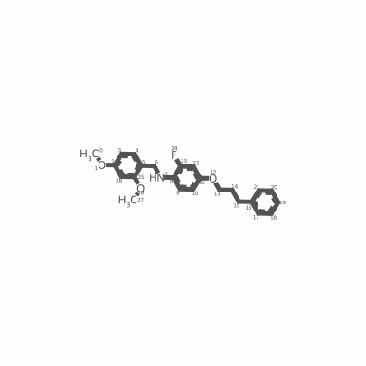 COc1ccc(CNc2ccc(OCCCc3ccccc3)cc2F)c(OC)c1